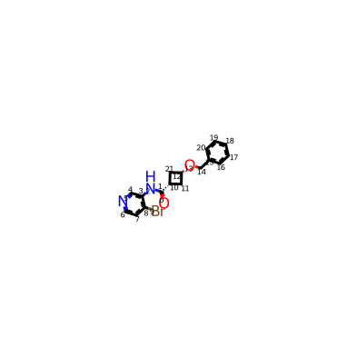 O=C(Nc1cnccc1Br)[C@H]1C[C@@H](OCc2ccccc2)C1